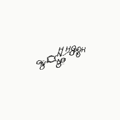 O=[N+]([O-])c1ccc(NCCOP(=O)(O)O)c([N+](=O)[O-])c1